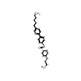 CCCCCCc1ccc(-c2ccc(OC(=O)[C@H]3CC[C@H](CCCC)CC3)cc2)nc1